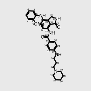 COc1ccccc1Nc1ccc(NC(=O)c2ccc(NCCCN3CCCCC3)cc2)c2c1CNC2=O